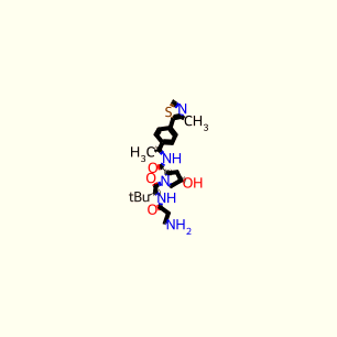 Cc1ncsc1-c1ccc([C@H](C)NC(=O)[C@@H]2C[C@@H](O)CN2C(=O)[C@H](NC(=O)CCN)C(C)(C)C)cc1